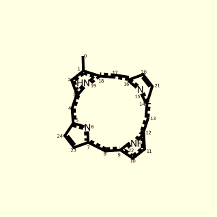 Cc1cc2cc3nc(cc4ccc(cc5nc(cc1[nH]2)C=C5)[nH]4)C=C3